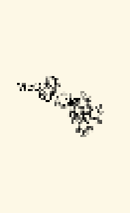 COC(=O)[C@H](C(C)C)N(C)C(=O)C1CCN(C(=O)[C@H]2CCN2C(c2ccccc2)(c2ccccc2)c2ccccc2)CC1